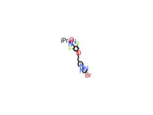 CC(C)c1nc(-c2c(F)cc(OCCCC3CCN(c4ncc(Br)cn4)CC3)cc2F)no1